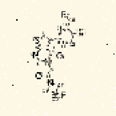 O=C(Cn1cnc2scc(-c3ccc(Cl)c(CF)c3)c2c1=O)N1CC(F)(F)C1